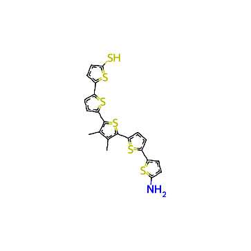 Cc1c(-c2ccc(-c3ccc(N)s3)s2)sc(-c2ccc(-c3ccc(S)s3)s2)c1C